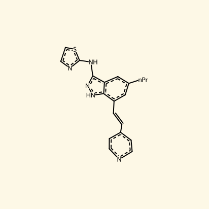 CCCc1cc(C=Cc2ccncc2)c2[nH]nc(Nc3nccs3)c2c1